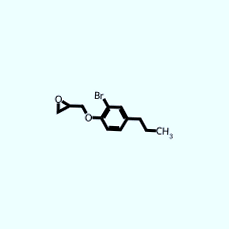 CCCc1ccc(OCC2CO2)c(Br)c1